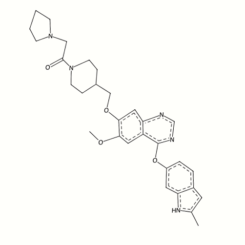 COc1cc2c(Oc3ccc4cc(C)[nH]c4c3)ncnc2cc1OCC1CCN(C(=O)CN2CCCC2)CC1